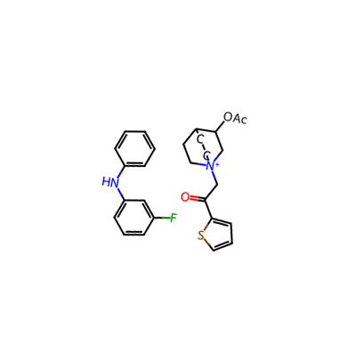 CC(=O)OC1C[N+]2(CC(=O)c3cccs3)CCC1CC2.Fc1cccc(Nc2ccccc2)c1